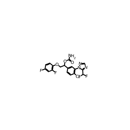 NC(=O)OC(COc1ccc(F)cc1F)c1ccc(Cl)c(-n2ncnc2C(F)F)c1